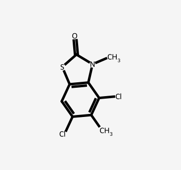 Cc1c(Cl)cc2sc(=O)n(C)c2c1Cl